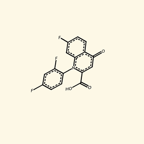 O=C(O)c1cc(=O)c2ccc(F)cc2n1-c1ccc(F)cc1F